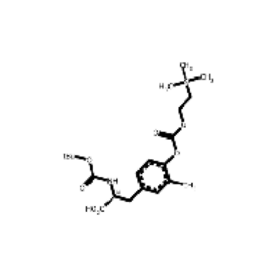 Cc1cc(C[C@H](NC(=O)OC(C)(C)C)C(=O)O)ccc1OC(=O)OCCS(C)(C)C